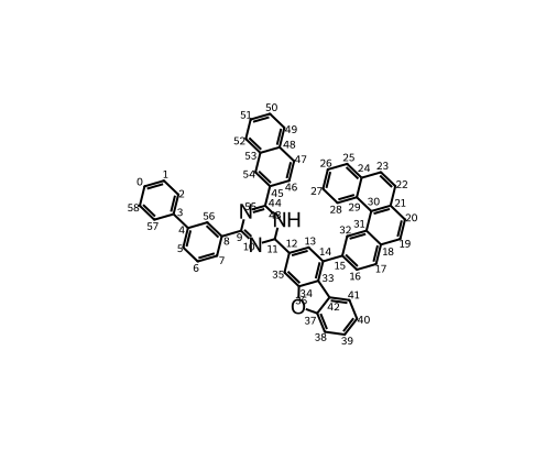 c1ccc(-c2cccc(C3=NC(c4cc(-c5ccc6ccc7ccc8ccccc8c7c6c5)c5c(c4)oc4ccccc45)NC(c4ccc5ccccc5c4)=N3)c2)cc1